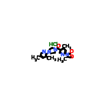 Cc1cnc(N2CCN(C(=O)c3cnc(N4C(=O)OC[C@H]4C)cc3C)CC2)c(C)c1.Cl